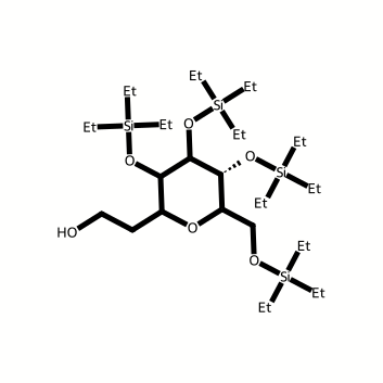 CC[Si](CC)(CC)OCC1OC(CCO)C(O[Si](CC)(CC)CC)C(O[Si](CC)(CC)CC)[C@@H]1O[Si](CC)(CC)CC